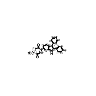 CCC(=O)N(NC(=O)OC(C)(C)C)c1ccc2c(-c3ccncc3)c(-c3ccc(F)cc3)[nH]c2n1